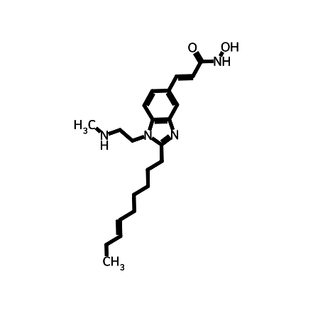 CCC=CCCCCCc1nc2cc(C=CC(=O)NO)ccc2n1CCNC